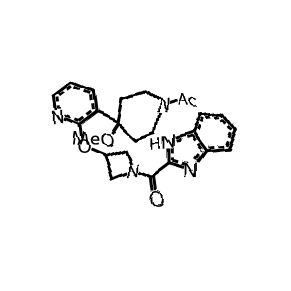 COC1(c2cccnc2OC2CN(C(=O)c3nc4ccccc4[nH]3)C2)CCN(C(C)=O)CC1